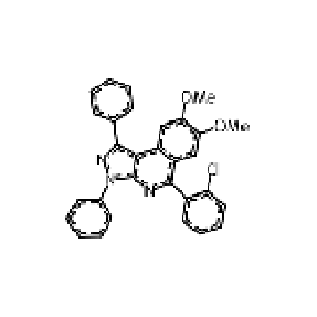 COc1cc2c(-c3ccccc3Cl)nc3c(c(-c4ccccc4)nn3-c3ccccc3)c2cc1OC